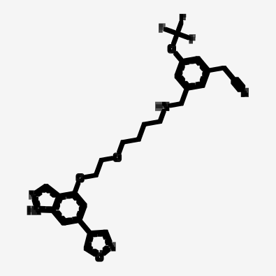 N#CCc1cc(CNCCCCOCCOc2cc(-c3cnoc3)cc3[nH]ncc23)cc(OC(F)(F)F)c1